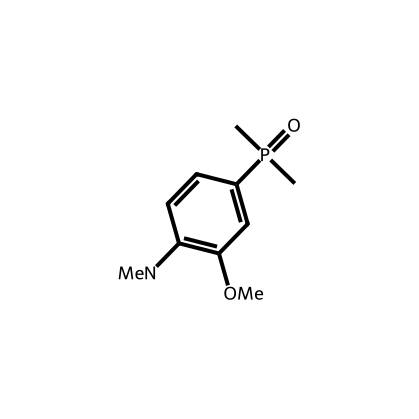 CNc1ccc(P(C)(C)=O)cc1OC